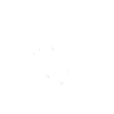 CNC(=O)C(OC(Cl)N(F)c1ccccc1)C1CCCCN1Oc1ncc2ccccc2n1